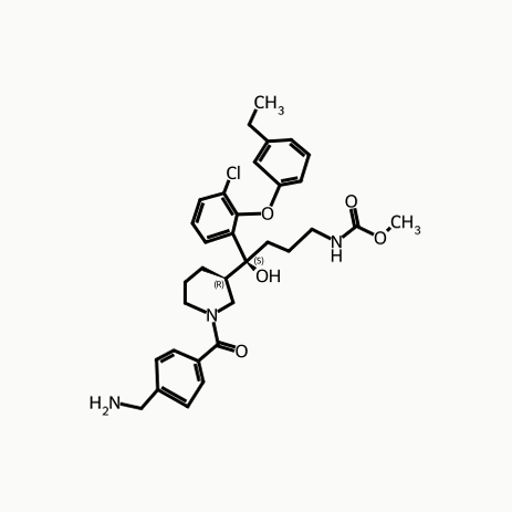 CCc1cccc(Oc2c(Cl)cccc2[C@](O)(CCCNC(=O)OC)[C@@H]2CCCN(C(=O)c3ccc(CN)cc3)C2)c1